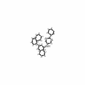 c1ccc(-c2ncc(Nc3cc(-c4cccc5ccccc45)cc4ccccc34)cn2)cc1